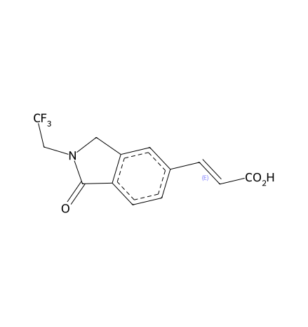 O=C(O)/C=C/c1ccc2c(c1)CN(CC(F)(F)F)C2=O